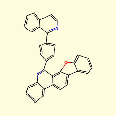 c1ccc2c(-c3ccc(-c4nc5ccccc5c5ccc6c7ccccc7oc6c45)cc3)nccc2c1